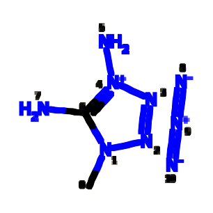 Cn1nn[n+](N)c1N.[N-]=[N+]=[N-]